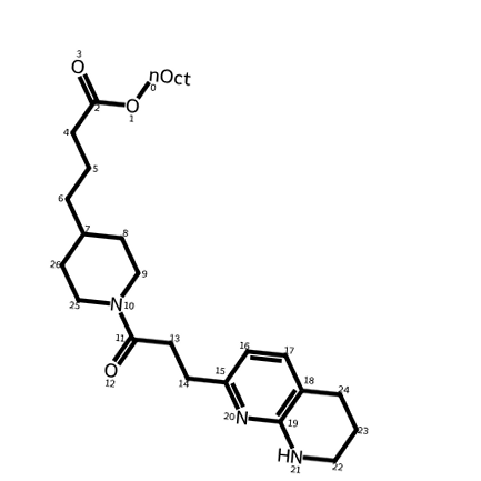 CCCCCCCCOC(=O)CCCC1CCN(C(=O)CCc2ccc3c(n2)NCCC3)CC1